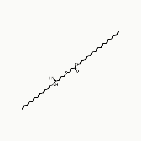 CCCCCCCCCCCCCCCCOC(=O)CCSCCCC(=N)NCCCCCCCCCCCC